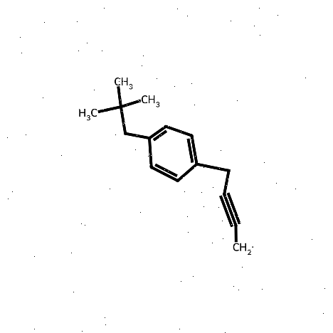 [CH2]C#CCc1ccc(CC(C)(C)C)cc1